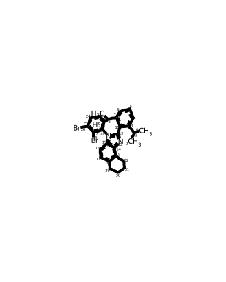 CC(C)c1cccc(C(C)C)c1-c1nc2c3c(ccc2n1-c1cccc(Br)c1Br)CCCC3